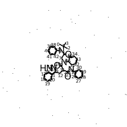 CC(C)(C)N(C(=O)CN1C(=O)C(Cc2n[nH]c3ccccc23)C(=O)N(c2ccccc2)C2C=CC=CC21)c1ccccc1